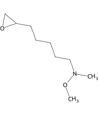 CON(C)CCCCCC1CO1